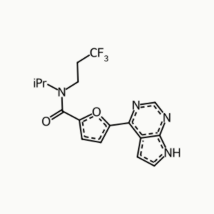 CC(C)N(CCC(F)(F)F)C(=O)c1ccc(-c2ncnc3[nH]ccc23)o1